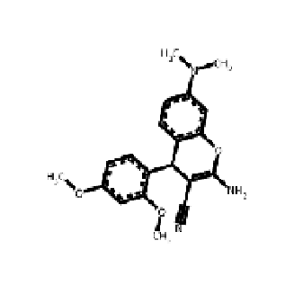 COc1ccc(C2C(C#N)=C(N)Oc3cc(N(C)C)ccc32)c(OC)c1